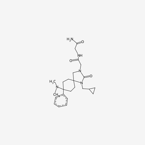 CN(C)C1(c2ccccc2)CCC2(CC1)CN(CC(=O)NCC(N)=O)C(=O)N2CC1CC1